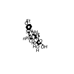 CCCC1(Cl)Nc2c(ncn2[C@@H]2O[C@H](CO)C(O)C2O)C(N)N1Sc1nc2ccc(OCC)cc2s1